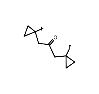 O=C(CC1(F)CC1)CC1(F)CC1